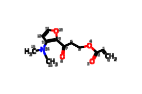 C=CC(=O)OCCC(=O)c1occc1N(C)C